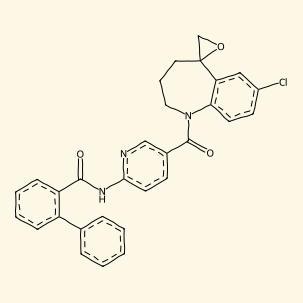 O=C(Nc1ccc(C(=O)N2CCCC3(CO3)c3cc(Cl)ccc32)cn1)c1ccccc1-c1ccccc1